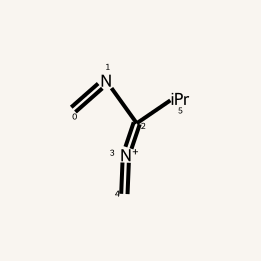 C=NC(=[N+]=C)C(C)C